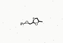 CC(C)OCC1OC(C)CS1